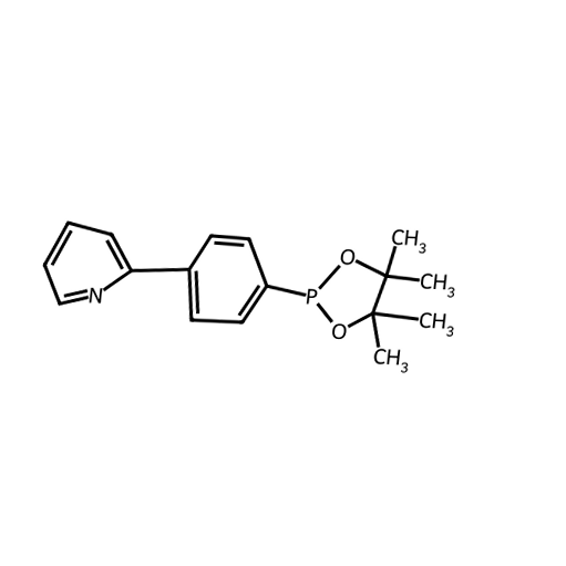 CC1(C)OP(c2ccc(-c3ccccn3)cc2)OC1(C)C